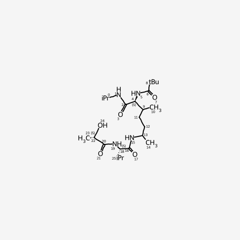 CC(C)NC(=O)[C@@H](NC(=O)C(C)(C)C)C(C)CCC(C)NC(=O)[C@@H](NC(=O)[C@H](C)O)C(C)C